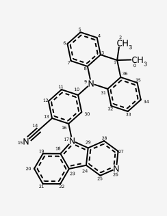 CC1(C)c2ccccc2N(c2ccc(C#N)c(-n3c4ccccc4c4cnccc43)c2)c2ccccc21